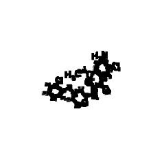 CCOc1cc(N)c(Cl)cc1C(=O)[NH+]([O-])CC1CN(Cc2ccccc2Cl)CCO1